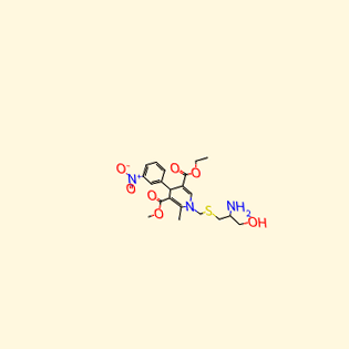 CCOC(=O)C1=CN(CSCC(N)CO)C(C)=C(C(=O)OC)C1c1cccc([N+](=O)[O-])c1